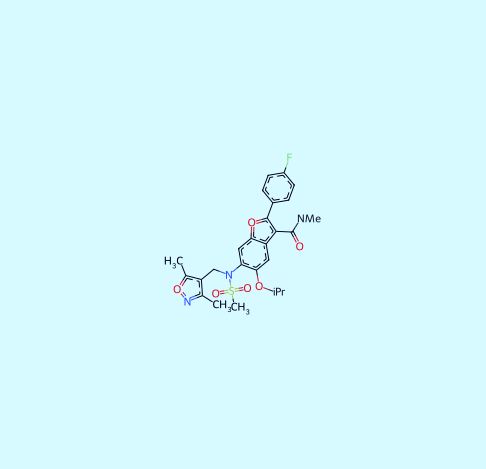 CNC(=O)c1c(-c2ccc(F)cc2)oc2cc(N(Cc3c(C)noc3C)S(C)(=O)=O)c(OC(C)C)cc12